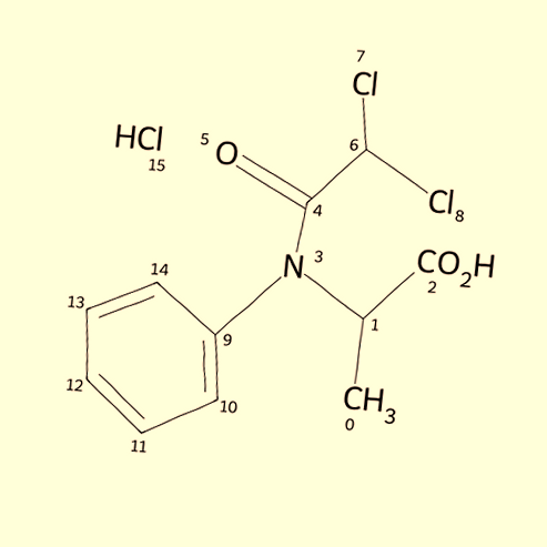 CC(C(=O)O)N(C(=O)C(Cl)Cl)c1ccccc1.Cl